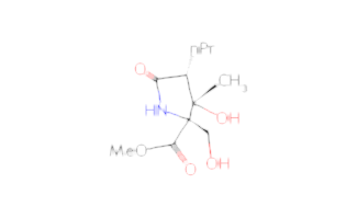 CCC[C@H]1C(=O)N[C@@](CO)(C(=O)OC)[C@@]1(C)O